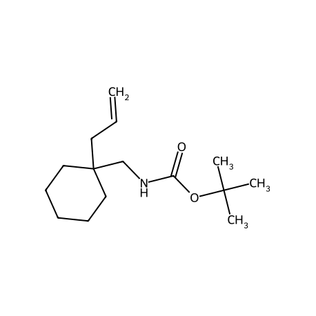 C=CCC1(CNC(=O)OC(C)(C)C)CCCCC1